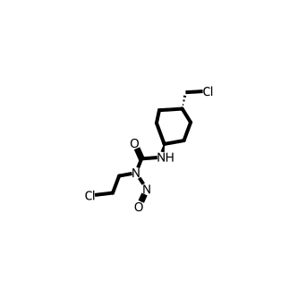 O=NN(CCCl)C(=O)N[C@H]1CC[C@H](CCl)CC1